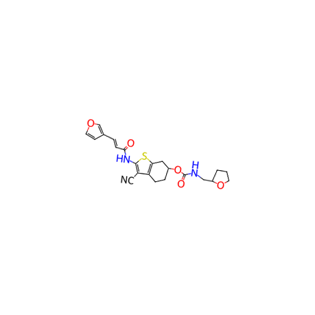 N#Cc1c(NC(=O)C=Cc2ccoc2)sc2c1CCC(OC(=O)NCC1CCCO1)C2